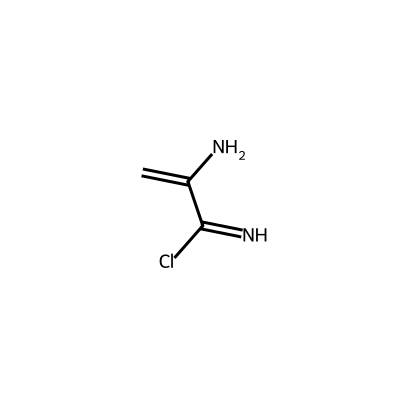 C=C(N)C(=N)Cl